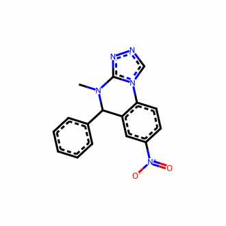 CN1c2nncn2-c2ccc([N+](=O)[O-])cc2C1c1ccccc1